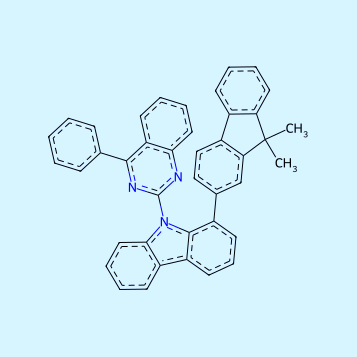 CC1(C)c2ccccc2-c2ccc(-c3cccc4c5ccccc5n(-c5nc(-c6ccccc6)c6ccccc6n5)c34)cc21